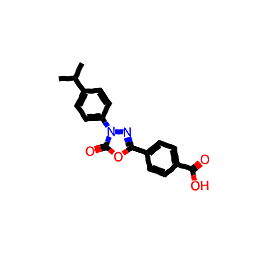 CC(C)c1ccc(-n2nc(-c3ccc(C(=O)O)cc3)oc2=O)cc1